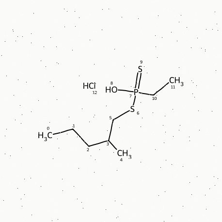 CCCC(C)CSP(O)(=S)CC.Cl